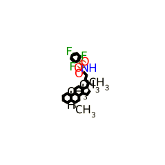 CC[C@H]1CC2C3CC[C@H]([C@H](C)CCC(=O)NS(=O)(=O)c4c(F)cc(F)cc4F)[C@@]3(C)CCC2[C@@]2(C)CCCC[C@@H]12